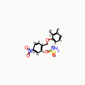 Cc1cccc(OCc2ccc([N+](=O)[O-])cc2)c1C.N[SH](=O)=O